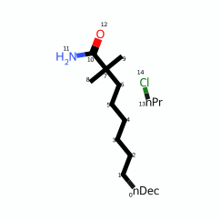 CCCCCCCCCCCCCCCCC(C)(C)C(N)=O.CCCCl